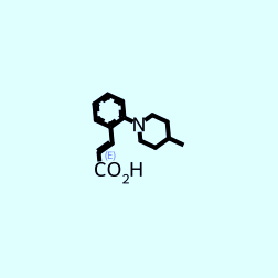 CC1CCN(c2ccccc2/C=C/C(=O)O)CC1